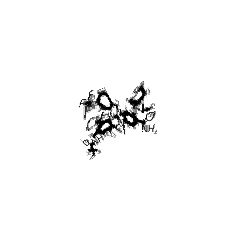 CN(c1cc2c(cc1C(N)=O)nc(Nc1c(Cl)ccc(CNC(=O)C(C)(C)C)c1Cl)n2C[C@H]1CC[C@H](C(F)(F)F)CC1)C1CCSC1